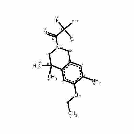 CCOc1cc2c(cc1N)CN(C(=O)C(F)(F)F)CC2(C)C